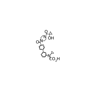 O=C(c1ccc(-c2cccc(N(C(=O)O)C3CC3)c2)cc1)N1CCN(C(=O)C2(O)CC2)CC1